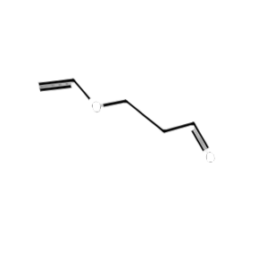 C=COCCC=O